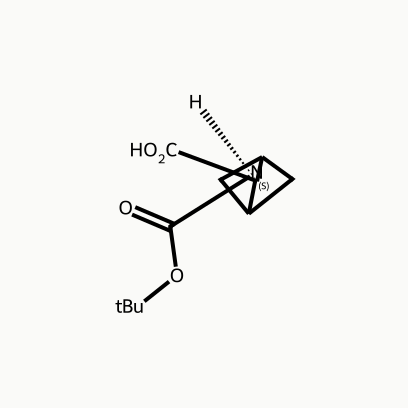 CC(C)(C)OC(=O)N1C2CC(C2)[C@H]1C(=O)O